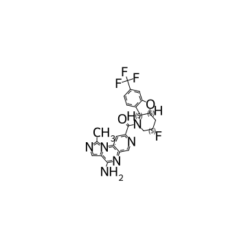 Cc1ncc2c(N)nc3cnc(C(=O)N4C[C@@H](F)C[C@@H]5Oc6cc(C(F)(F)F)ccc6[C@@H]54)cc3n12